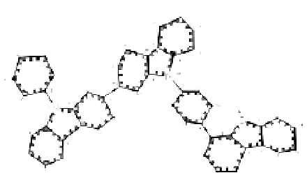 c1ccc(-n2c3ccccc3c3ccc(-c4ccc5c6ccccc6n(-c6ccc(-c7cccc8c7oc7ccccc78)cc6)c5c4)cc32)cc1